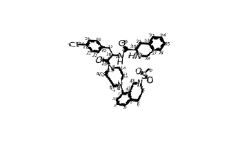 CS(=O)(=O)N1CCc2cccc(N3CCN(C(=O)[C@@H](Cc4ccc(Cl)cc4)NC(=O)[C@H]4Cc5ccccc5CN4)CC3)c2C1